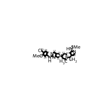 C=C(c1ccnc(NSC)c1)N1CC[C@@H](N2Cc3cnc(Nc4ccc(Cl)c(OC)c4)nc3C2)C[C@H]1C